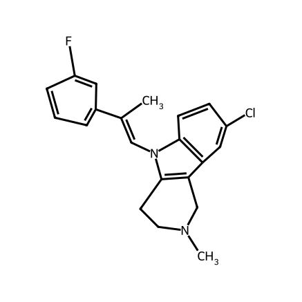 CC(=Cn1c2c(c3cc(Cl)ccc31)CN(C)CC2)c1cccc(F)c1